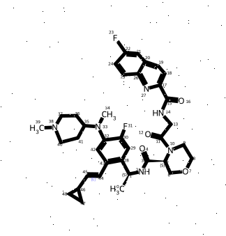 C[C@H](NC(=O)[C@@H]1COCCN1C(=O)CNC(=O)c1ccc2cc(F)ccc2n1)c1cc(F)c(N(C)C2CCN(C)CC2)cc1/C=C/C1CC1